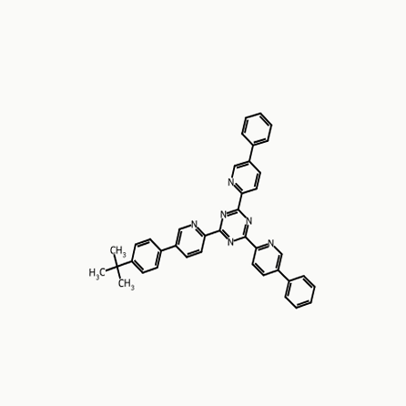 CC(C)(C)c1ccc(-c2ccc(-c3nc(-c4ccc(-c5ccccc5)cn4)nc(-c4ccc(-c5ccccc5)cn4)n3)nc2)cc1